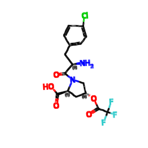 N[C@H](Cc1ccc(Cl)cc1)C(=O)N1C[C@H](OC(=O)C(F)(F)F)C[C@H]1C(=O)O